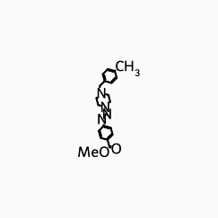 COC(=O)c1ccc(/N=N/N2CCN(Cc3ccc(C)cc3)CC2)cc1